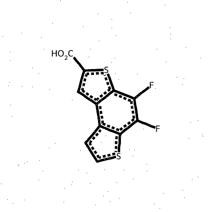 O=C(O)c1cc2c(s1)c(F)c(F)c1sccc12